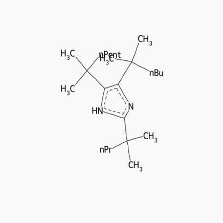 CCCCCC(C)(C)c1[nH]c(C(C)(C)CCC)nc1C(C)(C)CCCC